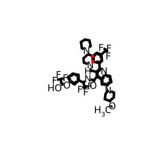 COC1CCN(c2ccc3nc(-c4cccc(C(F)(F)F)c4)c(CN4CCC(N5CCCCC5)CC4)c(C(=O)NC(c4ccccc4)C(F)(F)F)c3c2)CC1.O=C(O)C(F)(F)F